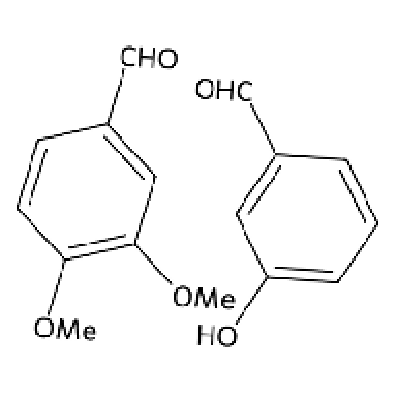 COc1ccc(C=O)cc1OC.O=Cc1cccc(O)c1